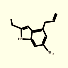 C=CCc1cc(N)cc2[nH]c(CC)cc12